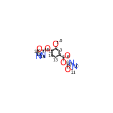 COc1cc(C(=O)Oc2nnco2)ccc1Oc1nnco1